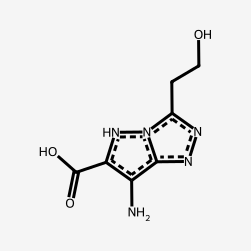 Nc1c(C(=O)O)[nH]n2c(CCO)nnc12